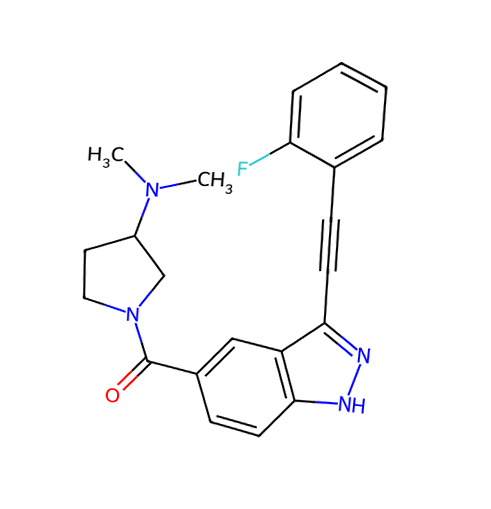 CN(C)C1CCN(C(=O)c2ccc3[nH]nc(C#Cc4ccccc4F)c3c2)C1